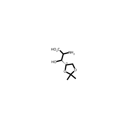 CC1(C)OC[C@@H](C(O)C(N)C(=O)O)O1